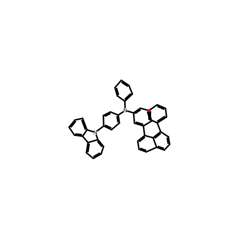 c1ccc(-c2cccc3cccc(-c4cccc(N(c5ccccc5)c5ccc(-n6c7ccccc7c7ccccc76)cc5)c4)c23)cc1